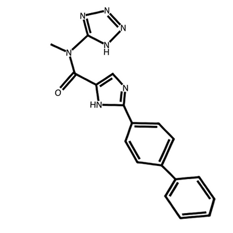 CN(C(=O)c1cnc(-c2ccc(-c3ccccc3)cc2)[nH]1)c1nnn[nH]1